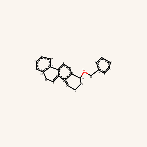 C1=c2c(ccc3c2=CCCC3OCc2ccccc2)-c2ccccc2C1